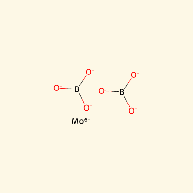 [Mo+6].[O-]B([O-])[O-].[O-]B([O-])[O-]